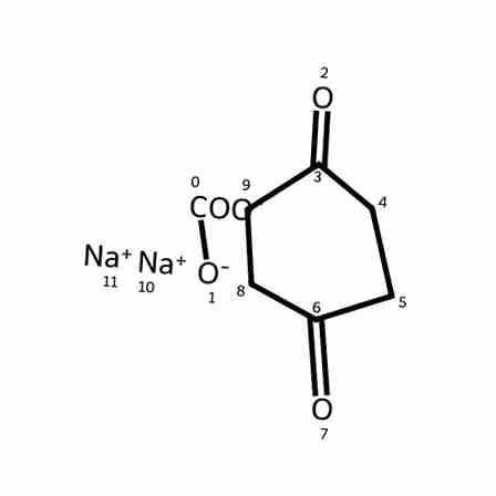 O=C([O-])[O-].O=C1CCC(=O)CC1.[Na+].[Na+]